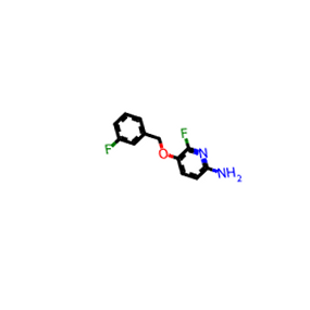 Nc1ccc(OCc2cccc(F)c2)c(F)n1